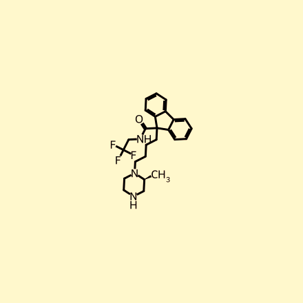 C[C@H]1CNCCN1CCCCC1(C(=O)NCC(F)(F)F)c2ccccc2-c2ccccc21